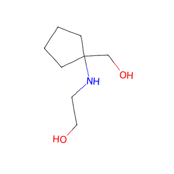 OCCNC1(CO)CCCC1